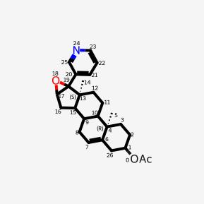 CC(=O)OC1CC[C@@]2(C)C(=CCC3C2CC[C@@]2(C)C3CC3OC32c2cccnc2)C1